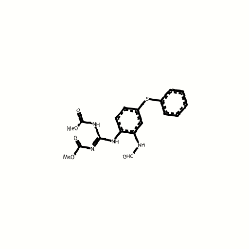 COC(=O)/N=C(\NC(=O)OC)Nc1ccc(Sc2ccccc2)cc1NC=O